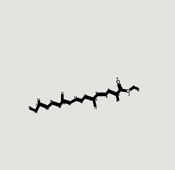 CCOC(=O)/C(C)=C/C=C/C(C)=C/C=C/C=C(C)/C=C/C=C(\C)CC